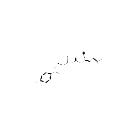 C#C/C(=C\C=C(/C)Cl)NC(=O)C[C@@H](CO)N1CCN(c2ccc(OC(F)(F)F)cc2)CC1